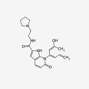 C=C/C=C(\C=C(/C)O)n1c(=O)ccc2cc(C(=O)NCCN3CCCC3)[nH]c21